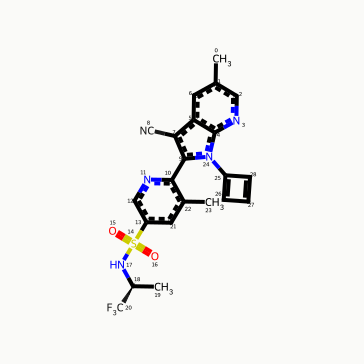 Cc1cnc2c(c1)c(C#N)c(-c1ncc(S(=O)(=O)N[C@@H](C)C(F)(F)F)cc1C)n2C1=CC=C1